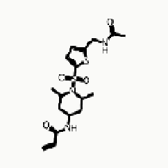 C=CC(=O)NC1CC(C)N(S(=O)(=O)c2ccc(CNC(C)=O)s2)C(C)C1